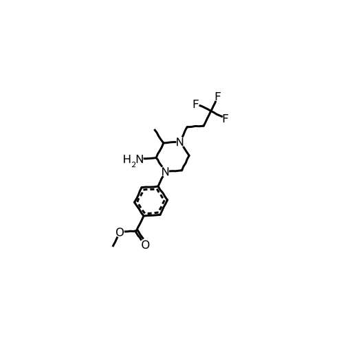 COC(=O)c1ccc(N2CCN(CCC(F)(F)F)C(C)C2N)cc1